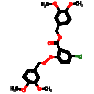 COc1ccc(COOc2ccc(Cl)cc2C(=O)OCc2ccc(OC)c(OC)c2)cc1OC